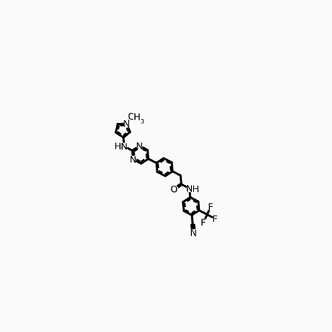 Cn1ccc(Nc2ncc(-c3ccc(CC(=O)Nc4ccc(C#N)c(C(F)(F)F)c4)cc3)cn2)c1